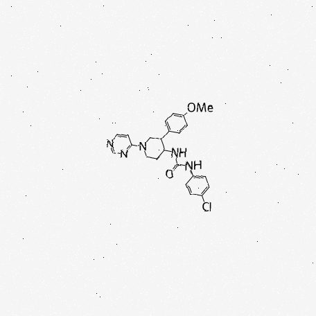 COc1ccc(C2CN(c3ccncn3)CCC2NC(=O)Nc2ccc(Cl)cc2)cc1